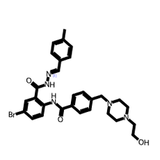 Cc1ccc(/C=N/NC(=O)c2cc(Br)ccc2NC(=O)c2ccc(CN3CCN(CCO)CC3)cc2)cc1